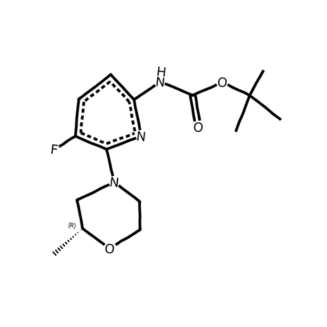 C[C@@H]1CN(c2nc(NC(=O)OC(C)(C)C)ccc2F)CCO1